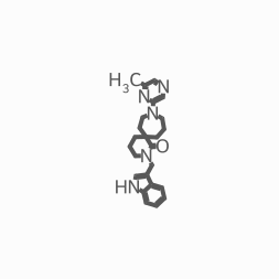 Cc1cncc(N2CCCC3(CCCN(Cc4c[nH]c5ccccc45)C3=O)CC2)n1